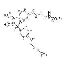 CC#CCOc1ccc(S(=O)(=O)N(C)C(C(=O)O)c2ccc(OCCCNC(=O)OCC)cc2)cc1